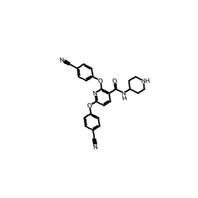 N#Cc1ccc(Oc2ccc(C(=O)NC3CCNCC3)c(Oc3ccc(C#N)cc3)n2)cc1